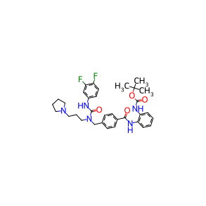 CC(C)(C)OC(=O)Nc1ccccc1NC(=O)c1ccc(CN(CCCN2CCCC2)C(=O)Nc2ccc(F)c(F)c2)cc1